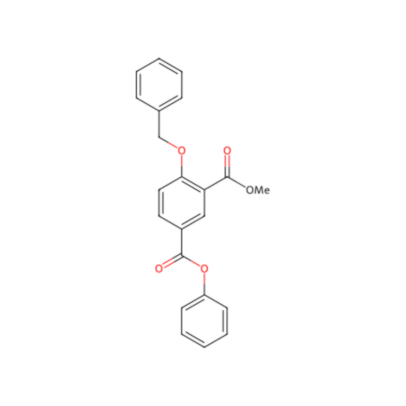 COC(=O)c1cc(C(=O)Oc2ccccc2)ccc1OCc1ccccc1